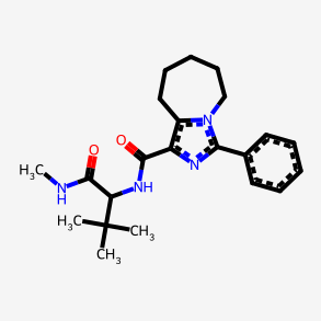 CNC(=O)C(NC(=O)c1nc(-c2ccccc2)n2c1CCCCC2)C(C)(C)C